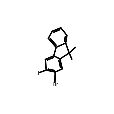 CC1(C)c2ccccc2-c2cc(I)c(Br)cc21